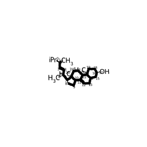 CC(C)[C@@H](C)C=C[C@@H](C)[C@H]1CCC2C3=CCC4C[C@@H](O)CC[C@]4(C)C3CC[C@@]21C